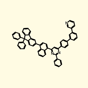 c1ccc(-c2nc(-c3ccc(-c4cccc(-c5cccnc5)c4)cc3)cc(-c3ccc(-c4ccc5c(c4)-c4ccccc4C5(c4ccccc4)c4ccccc4)c4ccccc34)n2)cc1